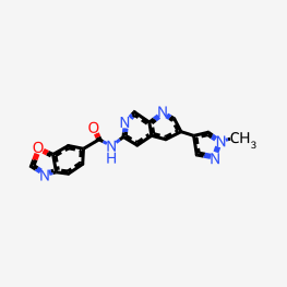 Cn1cc(-c2cnc3cnc(NC(=O)c4ccc5ncoc5c4)cc3c2)cn1